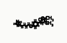 CC(=O)N(C)C[C@H](O)c1ccc(OCCCCn2ccnc2)cc1